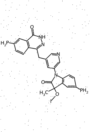 CC1(OI)C(=O)N(c2cncc(Cc3n[nH]c(=O)c4cc(P)ccc34)c2)c2ccc(P)cc21